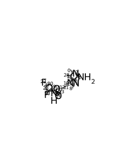 Cc1nc(N)c2nc(C)n(CCCCS(=O)(=O)Nc3ccc(F)cc3F)c2c1C